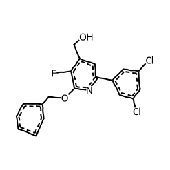 OCc1cc(-c2cc(Cl)cc(Cl)c2)nc(OCc2ccccc2)c1F